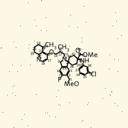 COCc1cc2c(cc1F)CN(C[C@@H](C)COc1ccnc3c1[C@H](C)CCC3)C21CCC(Nc2cccc(Cl)c2)(C(=O)OC)CC1